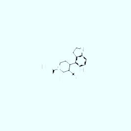 CC(C)(C)C1CN(C(=O)O)CCC1c1cccc2c1CCN2